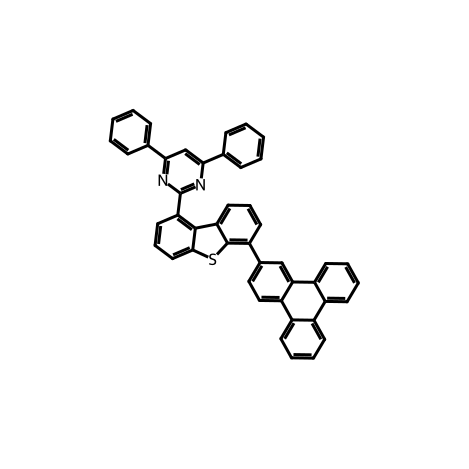 c1ccc(-c2cc(-c3ccccc3)nc(-c3cccc4sc5c(-c6ccc7c8ccccc8c8ccccc8c7c6)cccc5c34)n2)cc1